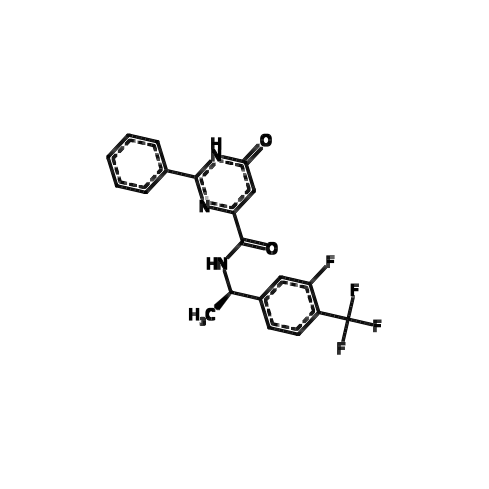 C[C@@H](NC(=O)c1cc(=O)[nH]c(-c2ccccc2)n1)c1ccc(C(F)(F)F)c(F)c1